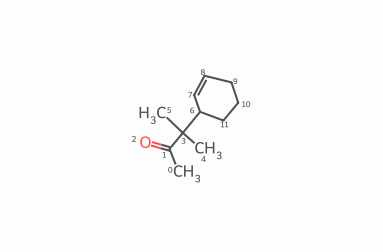 CC(=O)C(C)(C)C1C=CCCC1